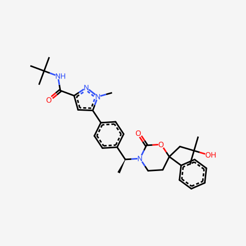 C[C@@H](c1ccc(-c2cc(C(=O)NC(C)(C)C)nn2C)cc1)N1CCC(CC(C)(C)O)(c2ccccc2)OC1=O